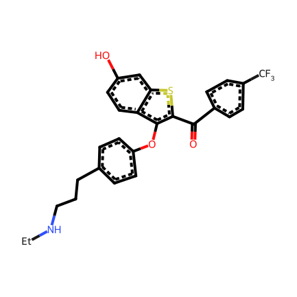 CCNCCCc1ccc(Oc2c(C(=O)c3ccc(C(F)(F)F)cc3)sc3cc(O)ccc23)cc1